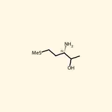 CSCC[C@H](N)C(C)O